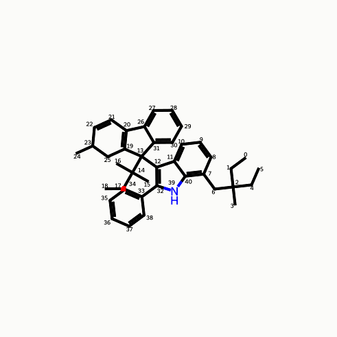 CCC(C)(CC)Cc1cccc2c(C3(C(C)(C)CC)C4=C(C=CC(C)C4)c4ccccc43)c(-c3ccccc3)[nH]c12